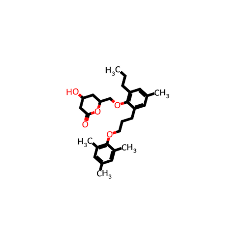 CCCc1cc(C)cc(CCCOc2c(C)cc(C)cc2C)c1OCC1CC(O)CC(=O)O1